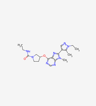 CCNC(=O)N1CCC(Oc2ncnc3c2nc(-c2cnn(CC)c2C)n3C)C1